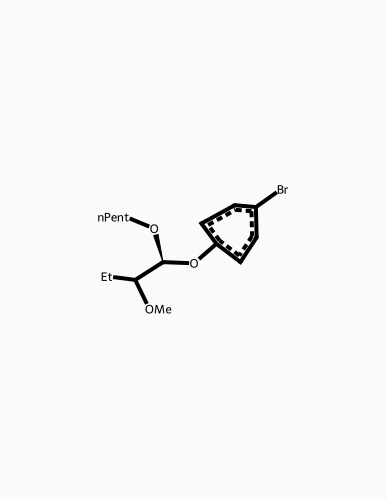 CCCCCO[C@@H](Oc1ccc(Br)cc1)C(CC)OC